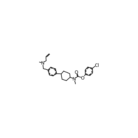 C=CCN(C)Cc1ccc(C2CCC(N(C)C(=O)Oc3ccc(Cl)cc3)CC2)cc1